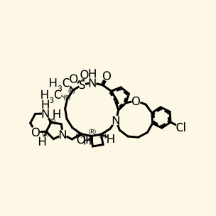 C[C@@H]1[C@@H](C)CCC[C@@](O)(CN2C[C@@H]3NCCO[C@H]3C2)[C@@H]2CC[C@H]2CN2CCCCc3cc(Cl)ccc3COc3ccc(cc32)C(=O)NS1(=O)=O